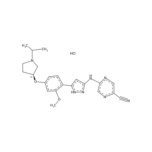 COc1cc(O[C@H]2CCN(C(C)C)C2)ccc1-c1cc(Nc2cnc(C#N)cn2)n[nH]1.Cl